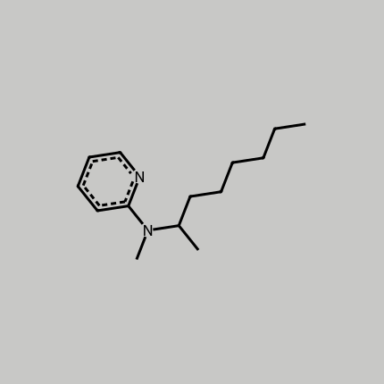 CCCCCCC(C)N(C)c1ccccn1